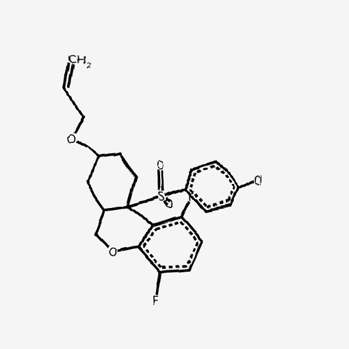 C=CCOC1CCC2(S(=O)(=O)c3ccc(Cl)cc3)c3c(F)ccc(F)c3OCC2C1